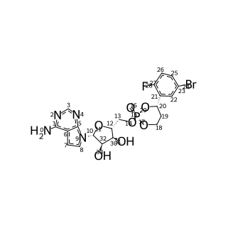 Nc1ncnc2c1ccn2[C@@H]1O[C@H](COP2(=O)OCC[C@@H](c3cc(Br)ccc3F)O2)[C@@H](O)[C@H]1O